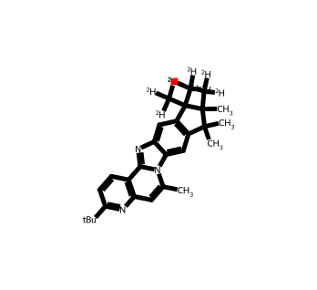 [2H]C([2H])([2H])C1(C)C(C)(C)c2cc3c(cc2C1(C([2H])([2H])[2H])C([2H])([2H])[2H])nc1c2ccc(C(C)(C)C)nc2cc(C)n31